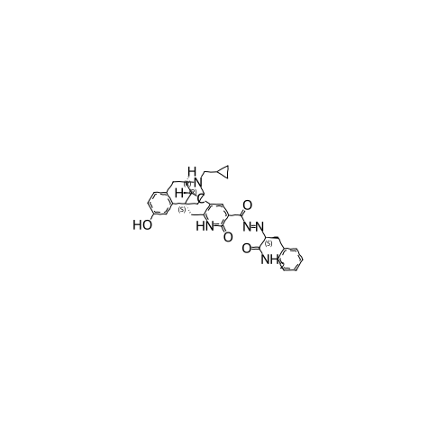 NC(=O)[C@H](Cc1ccccc1)N=NC(=O)c1cc2c([nH]c1=O)C[C@]13CCN(CC4CC4)[C@H](Cc4ccc(O)cc41)[C@@H]3C2